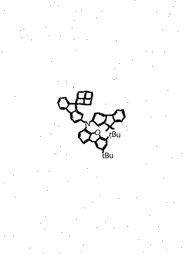 CC(C)(C)c1cc(C(C)(C)C)c2oc3c(N(c4ccc5c(c4)C(C)(C)c4ccccc4-5)c4ccc5c(c4)C4(c6ccccc6-5)C5CC6CC7CC4C675)cccc3c2c1